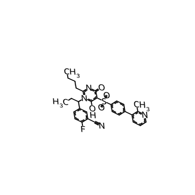 CCCCc1nc(=O)c(S(=O)(=O)c2ccc(-c3cccnc3C)cc2)c(O)n1C(CC)c1ccc(F)c(C#N)c1